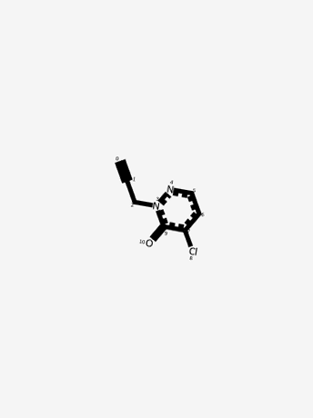 C#CCn1nccc(Cl)c1=O